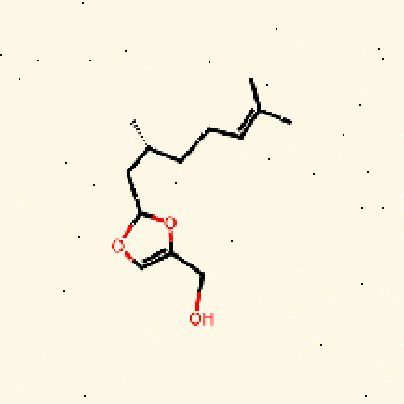 CC(C)=CCC[C@@H](C)CC1OC=C(CO)O1